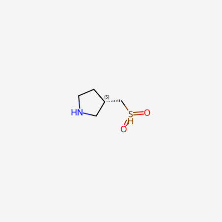 O=[SH](=O)C[C@H]1CCNC1